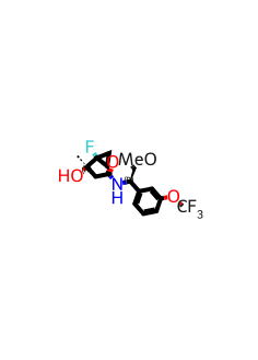 COC[C@H](NC(=O)C[C@@](C)(O)C1(F)CC1)c1cccc(OC(F)(F)F)c1